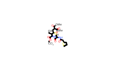 COC(=O)C(CC1C(COC(C)=O)=C(C(=O)OCC(Cl)(Cl)Cl)N2C(=O)C(NC(=O)Cc3cccs3)[C@@H]2[S+]1[O-])C(=O)OC